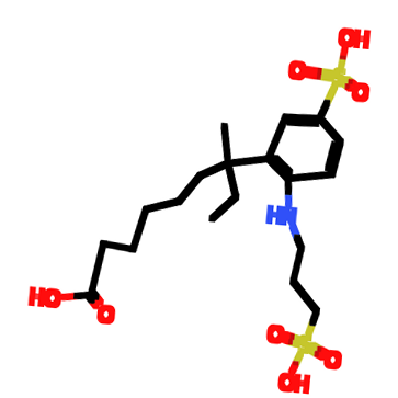 CCC(C)(CCCCCC(=O)O)c1cc(S(=O)(=O)O)ccc1NCCCS(=O)(=O)O